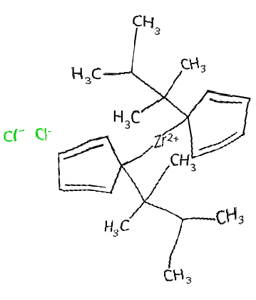 CC(C)C(C)(C)[C]1([Zr+2][C]2(C(C)(C)C(C)C)C=CC=C2)C=CC=C1.[Cl-].[Cl-]